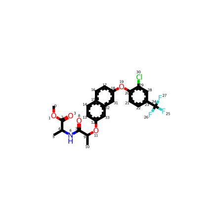 COC(=O)C(C)NC(=O)C(C)Oc1ccc2ccc(Oc3ccc(C(F)(F)F)cc3Cl)cc2c1